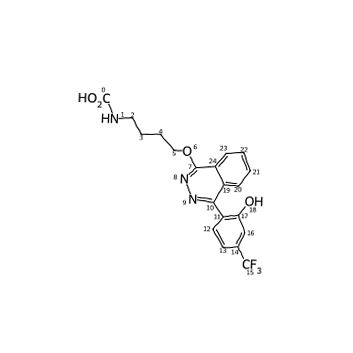 O=C(O)NCCCCOc1nnc(-c2ccc(C(F)(F)F)cc2O)c2ccccc12